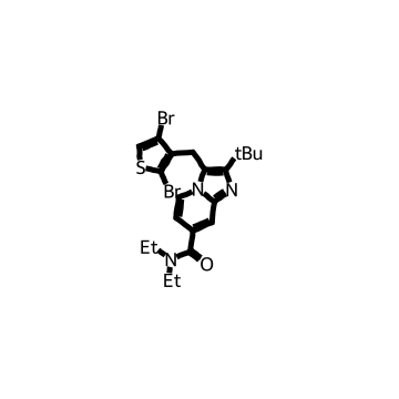 CCN(CC)C(=O)c1ccn2c(Cc3c(Br)csc3Br)c(C(C)(C)C)nc2c1